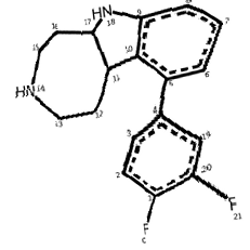 Fc1ccc(-c2cccc3c2C2CCNCCC2N3)cc1F